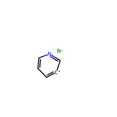 [Br-].[C+]1=CC=CN=C1